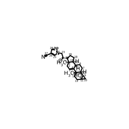 C[C@]12CC=C3[C@@H](CC[C@H]4C5C[C@@]5(O)CC[C@]34C)[C@@H]1CC[C@H]2C(=O)Cn1cc(C#N)cn1